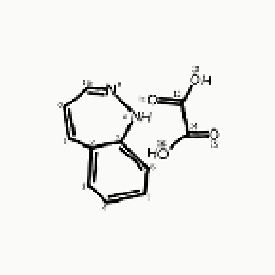 C1=Cc2ccccc2NN=C1.O=C(O)C(=O)O